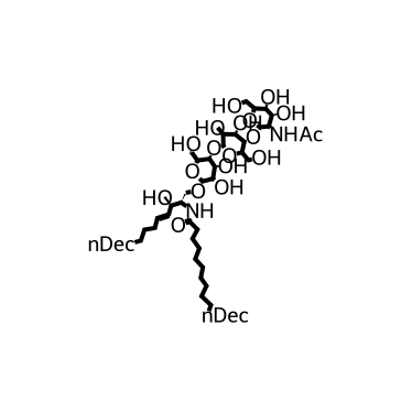 CCCCCCCCCCCCC/C=C/[C@@H](O)[C@H](CO[C@@H]1OC(CO)[C@@H](O[C@@H]2OC(CO)[C@@H](O[C@@H]3OC(CO)[C@@H](O)[C@H](O)C3NC(C)=O)[C@H](O)C2O)[C@H](O)C1O)NC(=O)CCCCCCCCCCCCCCCCCCC